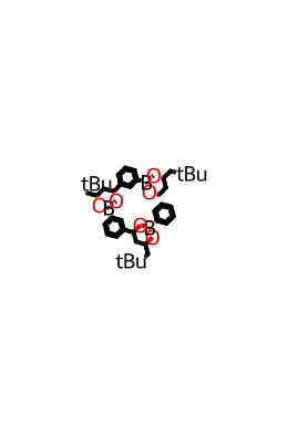 CC(C)(C)CC1CCOB(c2cccc(C3CC(CC(C)(C)C)OB(c4cccc(C5CC(CC(C)(C)C)OB(c6ccccc6)O5)c4)O3)c2)O1